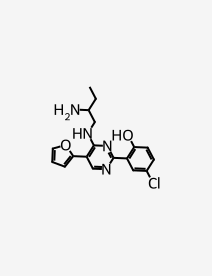 CCC(N)CNc1nc(-c2cc(Cl)ccc2O)ncc1-c1ccco1